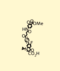 COC(=O)c1ccc(NC(=O)CCC(=O)N2CCN(c3cc4c(cc3F)c(=O)c(C(=O)O)cn4C3CC3)CC2)cc1O